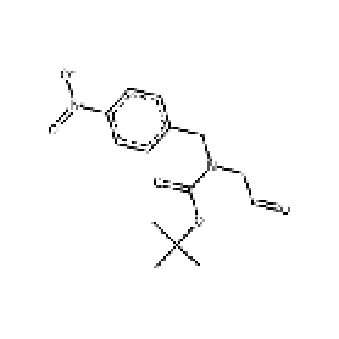 CC(C)(C)OC(=O)N(CC=O)Cc1ccc([N+](=O)[O-])cc1